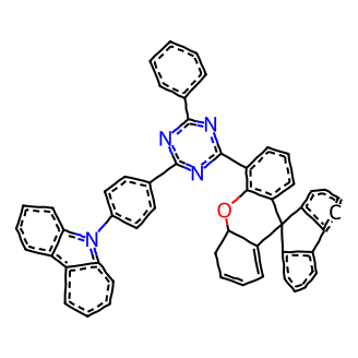 C1=CCC2Oc3c(-c4nc(-c5ccccc5)nc(-c5ccc(-n6c7ccccc7c7ccccc76)cc5)n4)cccc3C3(C2=C1)c1ccccc1-c1ccccc13